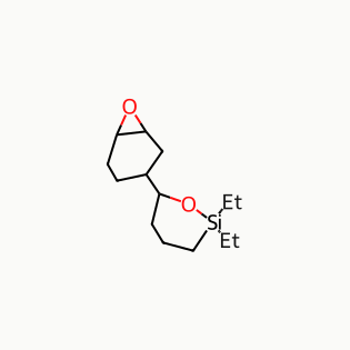 CC[Si]1(CC)CCCC(C2CCC3OC3C2)O1